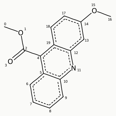 COC(=O)c1c2ccccc2nc2cc(OC)ccc12